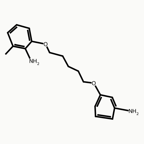 Cc1cccc(OCCCCCOc2cccc(N)c2)c1N